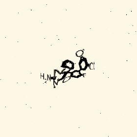 COc1cc(Cl)cc(-c2cc(C3(c4c[c]ccc4)N=C(N)N(C)C3=O)ccc2F)c1